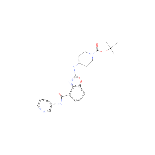 CC(C)(C)OC(=O)N1CCC(Nc2nc3c(C(=O)Nc4cccnc4)cccc3o2)CC1